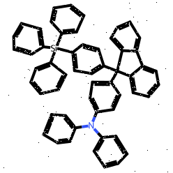 c1ccc(N(c2ccccc2)c2ccc(C3(c4ccc([Si](c5ccccc5)(c5ccccc5)c5ccccc5)cc4)c4ccccc4-c4ccccc43)cc2)cc1